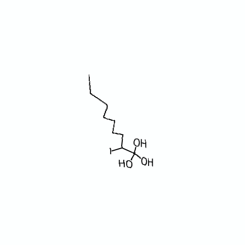 OC(O)(O)C(I)CCCCCCI